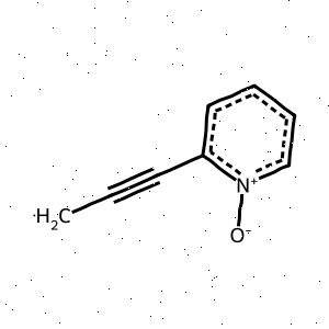 [CH2]C#Cc1cccc[n+]1[O-]